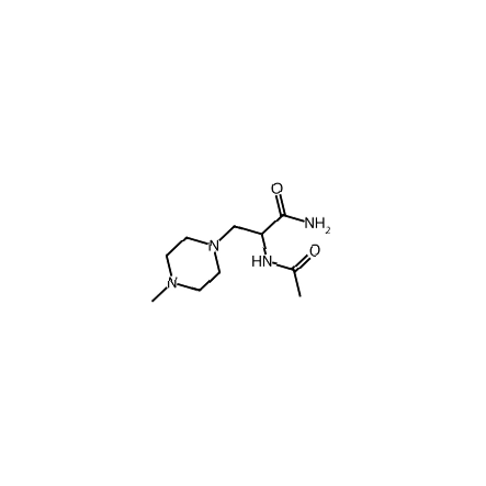 CC(=O)NC(CN1CCN(C)CC1)C(N)=O